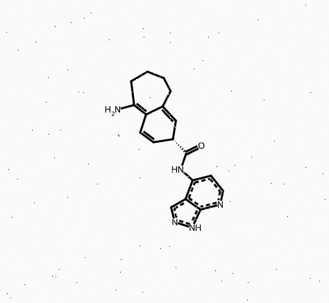 NC1=C2C=C[C@@H](C(=O)Nc3ccnc4[nH]ncc34)C=C2CCCC1